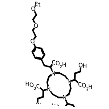 CCOCCOCCOc1ccc(CC(C(=O)O)N2CCN(C(CCO)C(=O)O)CCN(C(CCO)C(=O)O)CCN(C(CCO)C(=O)O)CC2)cc1